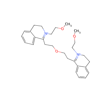 COCC[N+]1=C(CCOCCC2=[N+](CCOC)CCc3ccccc32)c2ccccc2CC1